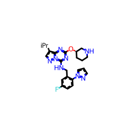 CC(C)c1cnn2c(NCc3cc(F)ccc3-n3cccn3)nc(O[C@@H]3CCCNC3)nc12